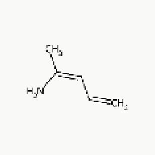 C=CC=C(C)N